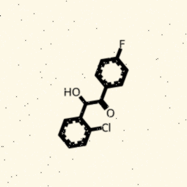 O=C(c1ccc(F)cc1)C(O)c1ccccc1Cl